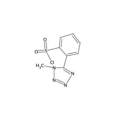 Cn1nnnc1-c1ccccc1S(=O)(=O)Cl